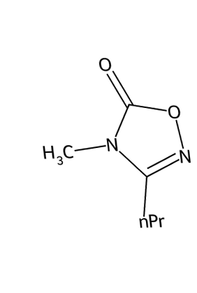 CCCc1noc(=O)n1C